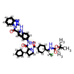 CC(C)(C)OC(=O)N[C@H](CF)[C@H]1CC[C@H](C(=O)N2CC[C@@H](C3CCCCC3)[C@H]2C(=O)Nc2ccc3[nH]c(C(=O)n4nnc5ccccc54)cc3c2)CC1